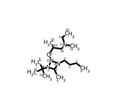 CCCCN1C(C)N(C(C)(C)C)N1OC(C)CN(C)CC